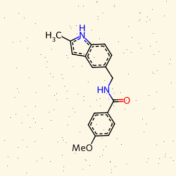 COc1ccc(C(=O)NCc2ccc3[nH]c(C)cc3c2)cc1